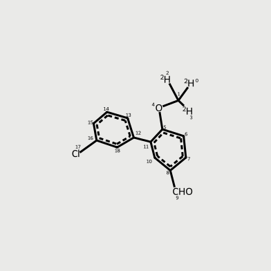 [2H]C([2H])([2H])Oc1ccc(C=O)cc1-c1cccc(Cl)c1